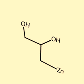 OCC(O)[CH2][Zn]